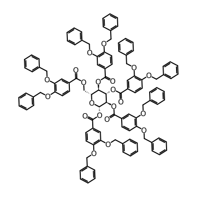 O=C(OC[C@H]1O[C@@H](OC(=O)c2ccc(OCc3ccccc3)c(OCc3ccccc3)c2)[C@H](OC(=O)c2ccc(OCc3ccccc3)c(OCc3ccccc3)c2)[C@@H](OC(=O)c2ccc(OCc3ccccc3)c(OCc3ccccc3)c2)[C@@H]1OC(=O)c1ccc(OCc2ccccc2)c(OCc2ccccc2)c1)c1ccc(OCc2ccccc2)c(OCc2ccccc2)c1